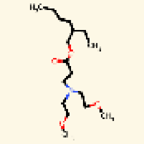 CCCCC(CC)COC(=O)CCN(CCOC)CCOC